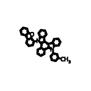 Cc1cccc(-n2c3ccccc3c3c4c5ccccc5n(-c5cccc6c5oc5ccccc56)c4c4ccccc4c32)c1